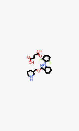 Fc1cccc(F)c1-n1nc(OCC2CCCNC2)c2ccccc21.O=C(O)C=CC(=O)O